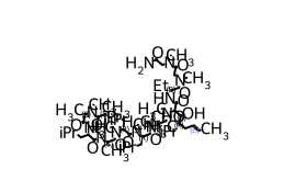 C/C=C/C[C@@H](C)[C@H](O)C(C(=O)N[C@H](CC)C(=O)N(C)CC(=O)N(C)CC(N)=O)N(C)CC(C=O)(C(C)C)N(C)C(=O)[C@@H](CC(C)C)N(C)C(=O)[C@@H](CC(C)C)N(C)C(=O)[C@H](C)NC(=O)C(CC(C)C)NC(=O)[C@H](C)N(C)C(=O)[C@@H](C)C(C)C